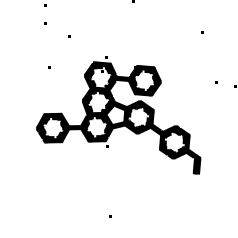 C=Cc1ccc(-c2ccc3c(c2)-c2ccc(-c4ccccc4)c4cc5cccc(-c6ccccc6)c5c-3c24)cc1